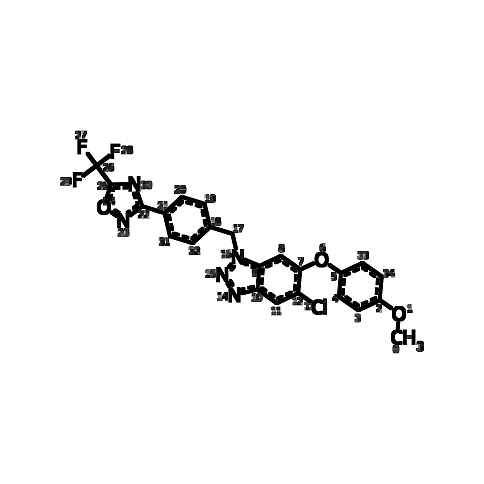 COc1ccc(Oc2cc3c(cc2Cl)nnn3Cc2ccc(-c3noc(C(F)(F)F)n3)cc2)cc1